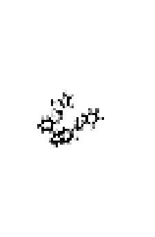 CC(Oc1cccc(-c2cnc3ccc(NCc4ccccc4)nn23)c1)[C@@H]1CCCN1